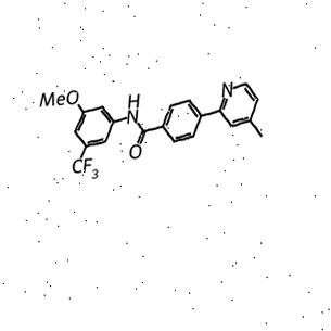 COc1cc(NC(=O)c2ccc(-c3cc(C)ccn3)cc2)cc(C(F)(F)F)c1